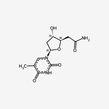 Cc1cn([C@H]2C[C@H](O)[C@@H](CC(N)=O)O2)c(=O)[nH]c1=O